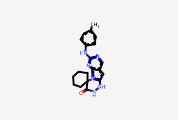 Cc1ccc(Nc2ncc3cc4n(c3n2)C2(CCCCC2)C(=O)NN4)cc1